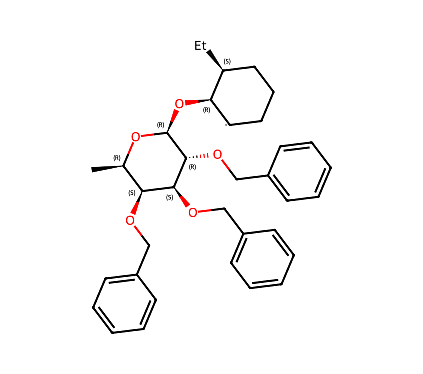 CC[C@H]1CCC[CH][C@H]1O[C@@H]1O[C@H](C)[C@H](OCc2ccccc2)[C@H](OCc2ccccc2)[C@H]1OCc1ccccc1